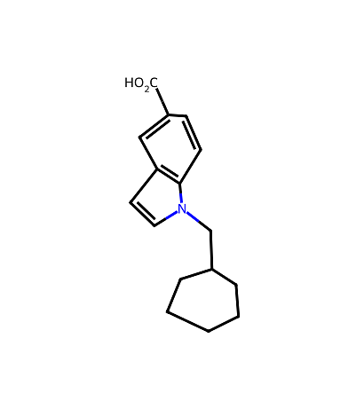 O=C(O)c1ccc2c(ccn2CC2CCCCC2)c1